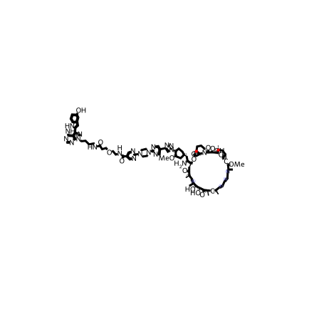 CO[C@H]1C[C@@H]2CC[C@@H](C)[C@@](O)(O2)C(=O)C(=O)N2CCCC[C@H]2C(=O)O[C@H]([C@H](N)C[C@@H]2CC[C@H](n3cc(-c4cnc(N5CCN(c6ncc(C(=O)NCCOCCC(=O)NCCCCn7nc(-c8cc9cc(O)ccc9[nH]8)c8c(N)ncnc87)cn6)CC5)nc4)nn3)[C@H](OC)C2)CC(=O)[C@H](C)/C=C(\C)[C@@H](O)[C@@H](O)C(=O)[C@H](C)C[C@H](C)/C=C/C=C/C=C/1C